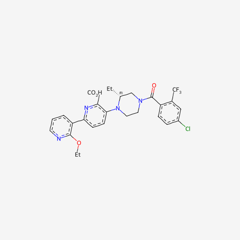 CCOc1ncccc1-c1ccc(N2CCN(C(=O)c3ccc(Cl)cc3C(F)(F)F)C[C@H]2CC)c(C(=O)O)n1